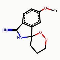 CCOc1ccc2c(c1)C1(CCCOO1)NC2=N